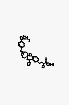 COc1ccc(CN2CCC3(CC2)CC(=O)c2cc(/C=C/C(=O)NO)ccc2O3)cc1